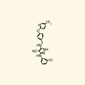 N#Cc1c(Nc2cccc(Cl)c2)n[nH]c1NCc1ccc(Oc2ccc(C(F)(F)F)cn2)cc1